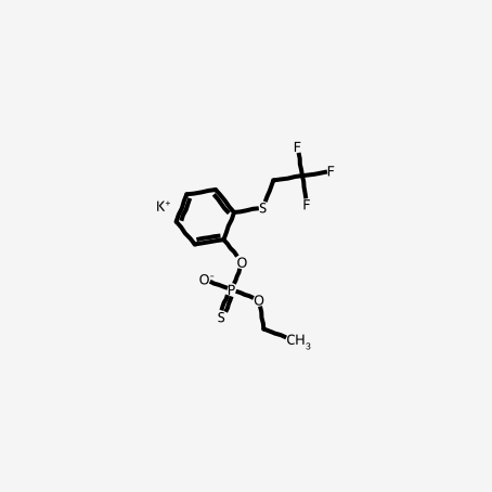 CCOP([O-])(=S)Oc1ccccc1SCC(F)(F)F.[K+]